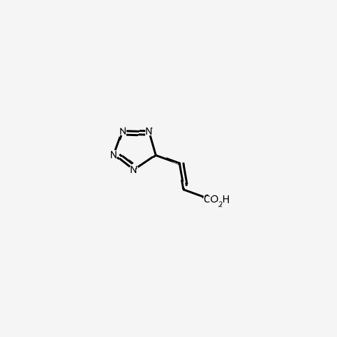 O=C(O)C=CC1N=NN=N1